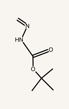 C=NNC(=O)OC(C)(C)C